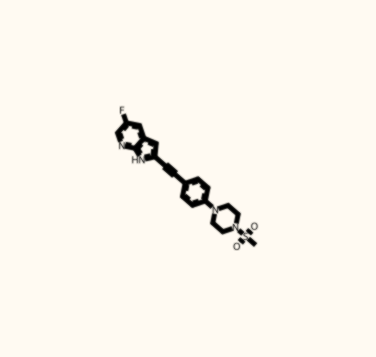 CS(=O)(=O)N1CCN(c2ccc(C#Cc3cc4cc(F)cnc4[nH]3)cc2)CC1